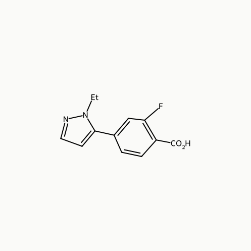 CCn1nccc1-c1ccc(C(=O)O)c(F)c1